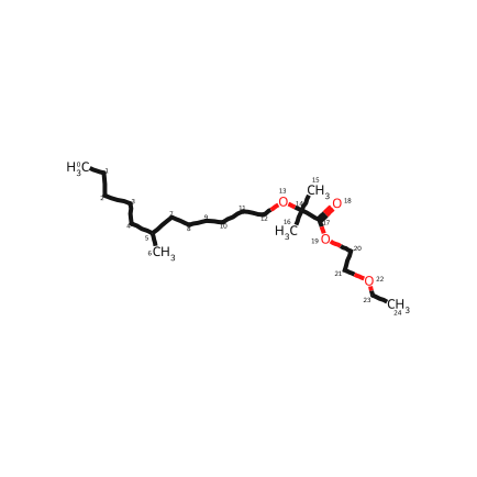 CCCCCC(C)CCCCCCOC(C)(C)C(=O)OCCOCC